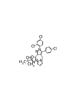 CC(C)(C)c1nnc(-c2nn(-c3ccc(Cl)cc3Cl)c(-c3ccc(Cl)cc3)c2Cn2cccc2)o1